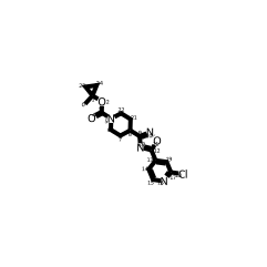 CC1(OC(=O)N2CCC(c3noc(-c4ccnc(Cl)c4)n3)CC2)CC1